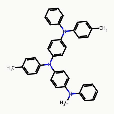 Cc1ccc(N(c2ccccc2)c2ccc(N(c3ccc(C)cc3)c3ccc(N(C)c4ccccc4)cc3)cc2)cc1